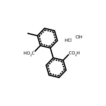 Cc1cccc(-c2ccccc2C(=O)O)c1C(=O)O.Cl.Cl